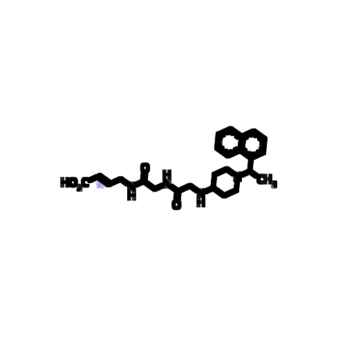 CC(c1cccc2ccccc12)N1CCC(NCC(=O)NCC(=O)NC/C=C/C(=O)O)CC1